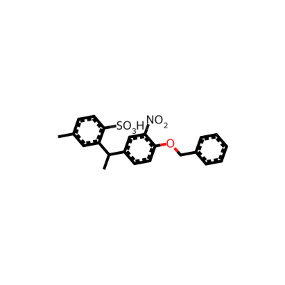 Cc1ccc(S(=O)(=O)O)c(C(C)c2ccc(OCc3ccccc3)c([N+](=O)[O-])c2)c1